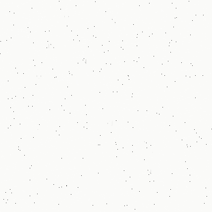 N#Cc1nn(-c2cc(Cl)c(Oc3cc(F)c4c(c3)C3(CCC3)C(=O)N4)c(Cl)c2)c(=O)[nH]c1=O